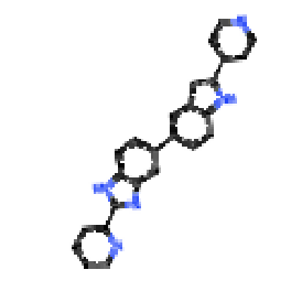 c1ccc(-c2nc3cc(-c4ccc5[nH]c(-c6ccncc6)cc5c4)ccc3[nH]2)nc1